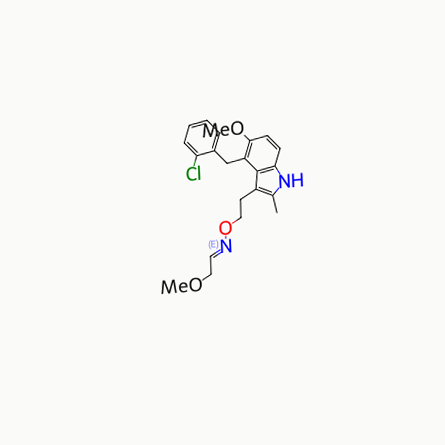 COC/C=N/OCCc1c(C)[nH]c2ccc(OC)c(Cc3ccccc3Cl)c12